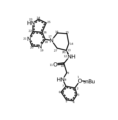 CCCCOc1ccccc1NCC(=O)N[C@@H]1CCCN(c2ncnc3[nH]ccc23)C1